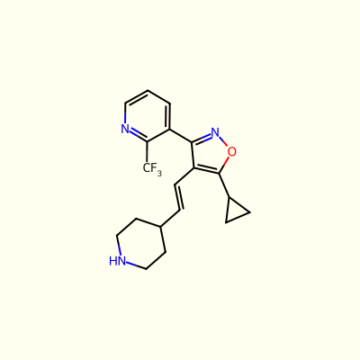 FC(F)(F)c1ncccc1-c1noc(C2CC2)c1/C=C/C1CCNCC1